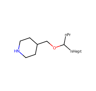 CCCCCCCC(CCC)OCC1CCNCC1